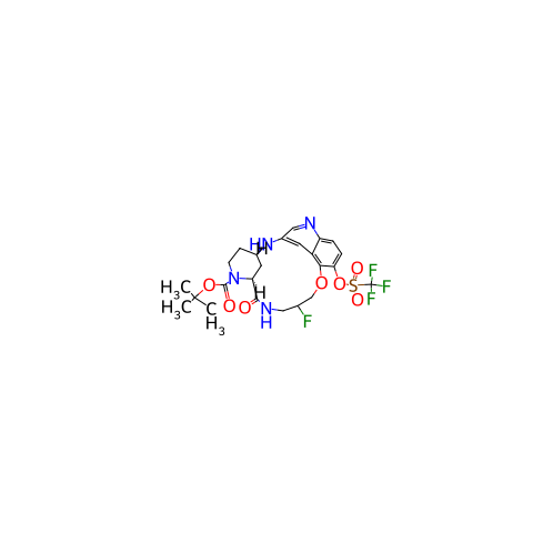 CC(C)(C)OC(=O)N1CC[C@H]2C[C@H]1C(=O)NCC(F)COc1c(OS(=O)(=O)C(F)(F)F)ccc3ncc(cc13)N2